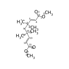 COC(=O)/C=C/C(C)(C)CC(C)(C)/C=C/C(=O)OC